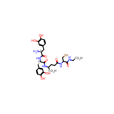 N[C@@H](Cc1ccc(O)c(O)c1)C(=O)N[C@@H](Cc1ccc(O)c(O)c1)C(=O)NC(CCC(=O)NC(CS)C(=O)NCC(=O)O)C(=O)O